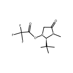 CN1C(=O)CN(OC(=O)C(F)(F)F)[C@@H]1C(C)(C)C